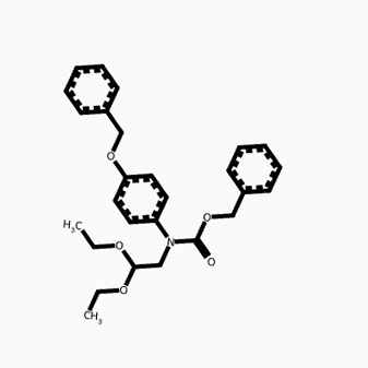 CCOC(CN(C(=O)OCc1ccccc1)c1ccc(OCc2ccccc2)cc1)OCC